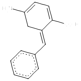 NC1=CC=C(C(=O)O)C(=Cc2ccccc2)C1